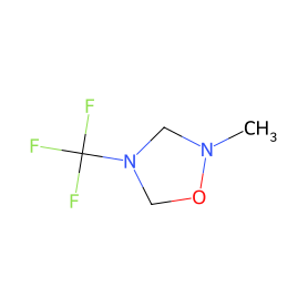 CN1CN(C(F)(F)F)CO1